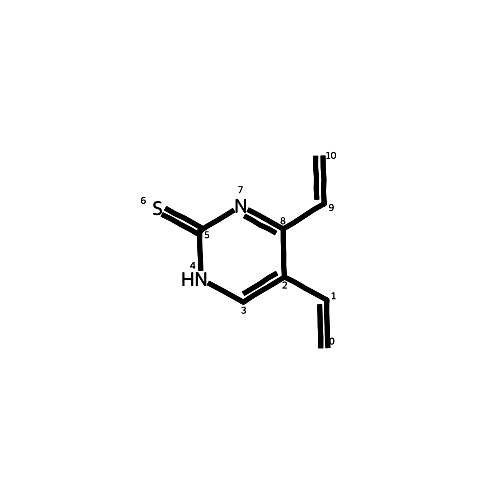 C=Cc1c[nH]c(=S)nc1C=C